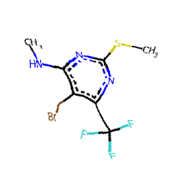 CNc1nc(SC)nc(C(F)(F)F)c1Br